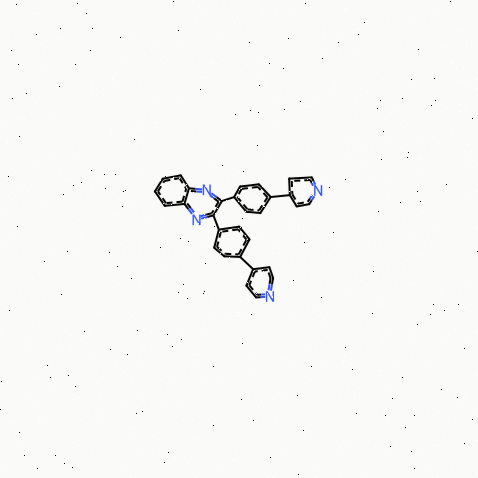 c1ccc2nc(-c3ccc(-c4ccncc4)cc3)c(-c3ccc(-c4ccncc4)cc3)nc2c1